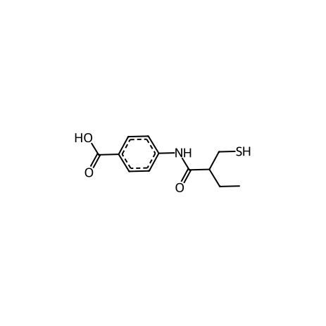 CCC(CS)C(=O)Nc1ccc(C(=O)O)cc1